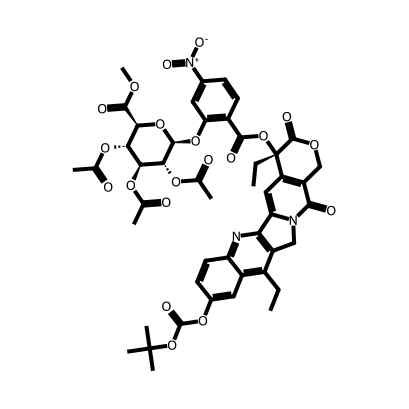 CCc1c2c(nc3ccc(OC(=O)OC(C)(C)C)cc13)-c1cc3c(c(=O)n1C2)COC(=O)[C@@]3(CC)OC(=O)c1ccc([N+](=O)[O-])cc1O[C@@H]1O[C@H](C(=O)OC)[C@@H](OC(C)=O)[C@H](OC(C)=O)[C@H]1OC(C)=O